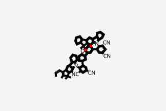 C/C=C\C1=C(C)C(C)(C)c2cc3c(cc21)c1ccccc1n3-c1c(C#N)cc(C#N)cc1-c1ccc2oc3ccc(-c4cc(C#N)cc(C#N)c4-n4c5ccccc5c5cc6c(cc54)C(C)(C)c4ccccc4-6)cc3c2c1